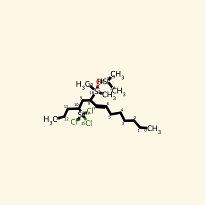 CCCCCCC=CC(CC(CCC)[Si](Cl)(Cl)Cl)[Si](C)(C)O[SiH](C)C